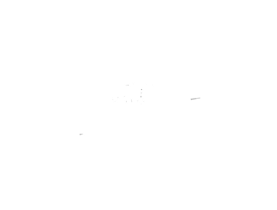 C=CCCCCOC(=O)/C=C\C(=O)OCCCCC=C